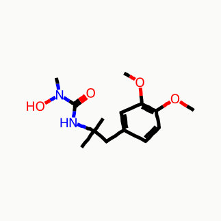 COc1ccc(CC(C)(C)NC(=O)N(C)O)cc1OC